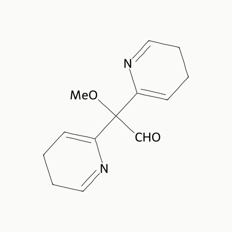 COC(C=O)(C1=CCCC=N1)C1=CCCC=N1